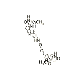 CN1CC2(CNC(=O)c3c2[nH]c2c3CCc3cnc(-c4ccc(CNCCOCCOCCc5ccc6c(c5)n(C)c(=O)n6C5CCC(=O)NC5=O)cc4F)cc3-2)C1